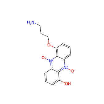 NCCCOc1cccc2c1[n+]([O-])c1cccc(O)c1[n+]2[O-]